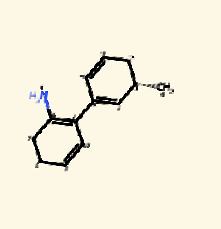 C[C@@H]1C=C(C2=C(N)CCC=C2)C=CC1